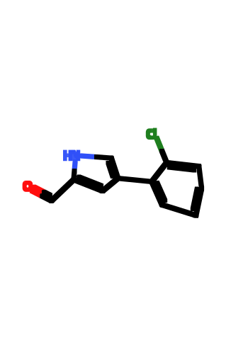 O=Cc1cc(-c2ccccc2Cl)c[nH]1